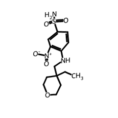 CCC1(CNc2ccc(S(N)(=O)=O)cc2[N+](=O)[O-])CCOCC1